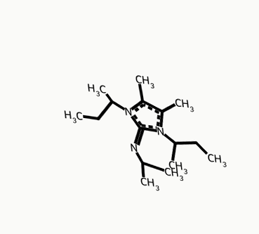 CCC(C)n1c(C)c(C)n(C(C)CC)c1=NC(C)C